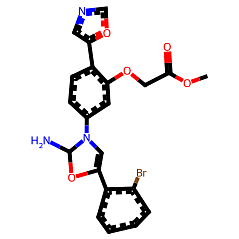 COC(=O)COc1cc(N2C=C(c3ccccc3Br)OC2N)ccc1-c1cnco1